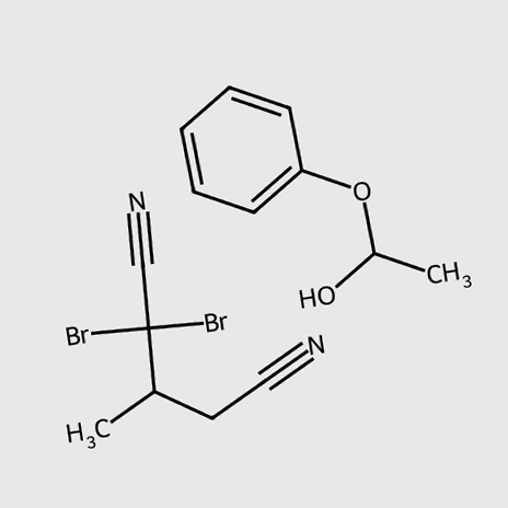 CC(CC#N)C(Br)(Br)C#N.CC(O)Oc1ccccc1